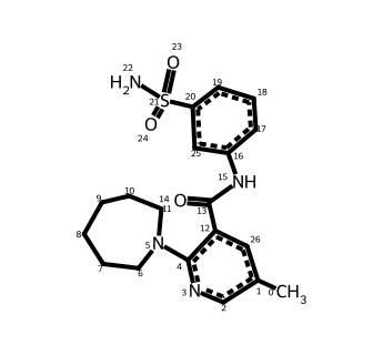 Cc1cnc(N2CCCCCC2)c(C(=O)Nc2cccc(S(N)(=O)=O)c2)c1